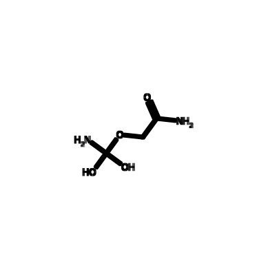 NC(=O)COC(N)(O)O